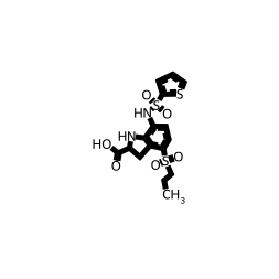 CCCS(=O)(=O)c1ccc(NS(=O)(=O)c2cccs2)c2c1CC(C(=O)O)N2